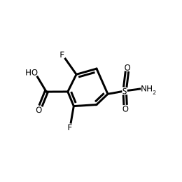 NS(=O)(=O)c1cc(F)c(C(=O)O)c(F)c1